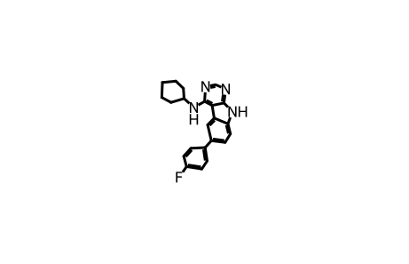 Fc1ccc(-c2ccc3[nH]c4ncnc(NC5CCCCC5)c4c3c2)cc1